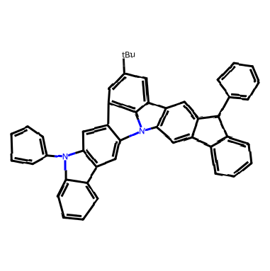 CC(C)(C)c1cc2c3cc4c(cc3n3c5cc6c7ccccc7n(-c7ccccc7)c6cc5c(c1)c23)-c1ccccc1C4c1ccccc1